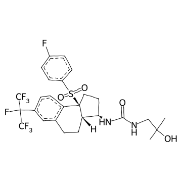 CC(C)(O)CNC(=O)N[C@@H]1CC[C@@]2(S(=O)(=O)c3ccc(F)cc3)c3ccc(C(F)(C(F)(F)F)C(F)(F)F)cc3CC[C@@H]12